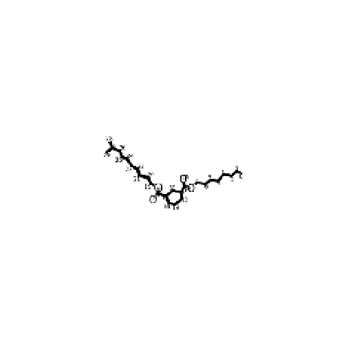 CCCCCCCCOC(=O)C1CCCC(C(=O)OCCCCCCCCC(C)C)C1